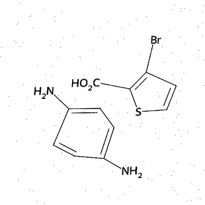 Nc1ccc(N)cc1.O=C(O)c1sccc1Br